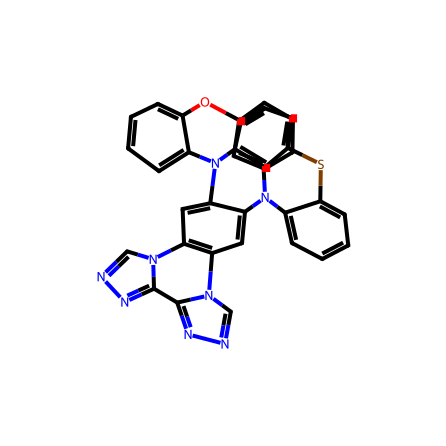 c1ccc2c(c1)Oc1ccccc1N2c1cc2c(cc1N1c3ccccc3Sc3ccccc31)n1cnnc1c1nncn21